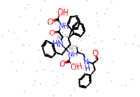 O=CC(Cc1ccccc1)NCCC[C@@H](Cc1ccccc1)C(Cc1ccccc1)(NC(=O)O)N[C@@H](Cc1ccccc1)C(=O)NC(=O)O